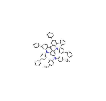 CC(C)(C)c1ccc(N(c2ccc(C(C)(C)C)cc2)c2cc3c4c(c2)N2c5ccc(-c6ccccc6)cc5-c5ccccc5-c5cc(-c6ccccc6)cc(c52)B4c2ccc(-c4ccccc4)cc2N3c2ccc(-c3ccccc3)cc2)cc1